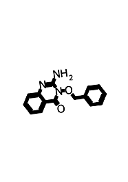 Nc1nc2ccccc2c(=O)n1OCc1ccccc1